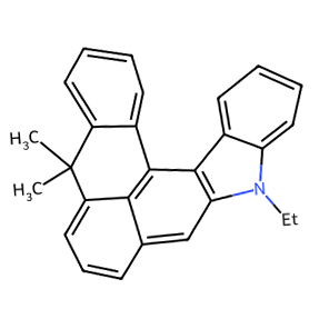 CCn1c2ccccc2c2c3c4c(cccc4cc21)C(C)(C)c1ccccc1-3